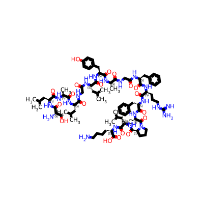 CC(C)C[C@H](NC(=O)CNC(=O)[C@H](CC(C)C)NC(=O)[C@H](C)NC(=O)[C@H](CC(C)C)NC(=O)[C@@H](N)CO)C(=O)N[C@@H](Cc1ccc(O)cc1)C(=O)N[C@@H](C)C(=O)NCC(=O)N[C@@H](Cc1ccccc1)C(=O)N[C@@H](CCCNC(=N)N)C(=O)N[C@@H](Cc1ccccc1)C(=O)N[C@@H](C)C(=O)N1CCC[C@H]1C(=O)N[C@@H](CC(C)C)C(=O)N[C@@H](CCCCN)C(=O)O